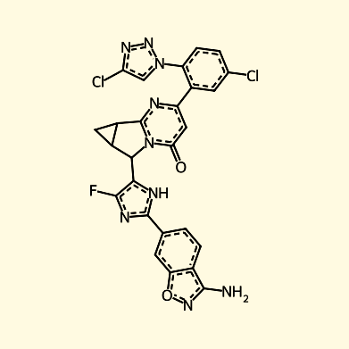 Nc1noc2cc(-c3nc(F)c(C4C5CC5c5nc(-c6cc(Cl)ccc6-n6cc(Cl)nn6)cc(=O)n54)[nH]3)ccc12